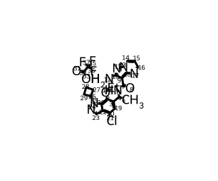 CCOc1c(C(C)NC(=O)c2c(N)nn3cccnc23)cc(Cl)c2cnn(C3CCC3)c12.O=C(O)C(F)(F)F